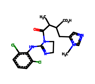 CC(C(=O)N1CCN=C1Nc1c(Cl)cccc1Cl)C(Cc1cncn1C)C(=O)O